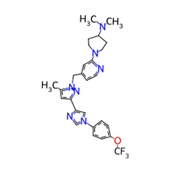 Cc1cc(-c2cn(-c3ccc(OC(F)(F)F)cc3)cn2)nn1Cc1ccnc(N2CCC(N(C)C)CC2)c1